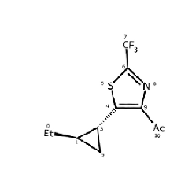 CC[C@@H]1C[C@H]1c1sc(C(F)(F)F)nc1C(C)=O